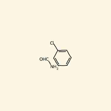 Clc1ccccc1.NC=O